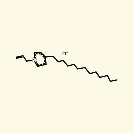 C=CC[n+]1ccc(CCCCCCCCCCCCC)cc1.[Cl-]